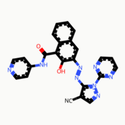 N#Cc1cnn(-c2ncccn2)c1/N=N/c1cc2ccccc2c(C(=O)Nc2ccncc2)c1O